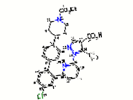 CCOC(=O)N1CCC(c2ccc(-c3ccc(Cl)cc3-c3cccc(-n4ncc(C(=O)O)c4C(F)(F)F)n3)cc2)CC1